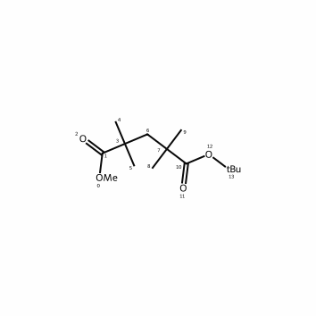 COC(=O)C(C)(C)CC(C)(C)C(=O)OC(C)(C)C